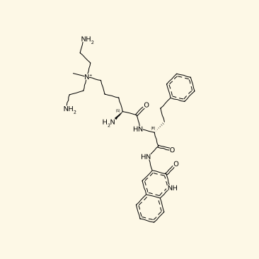 C[N+](CCN)(CCN)CCC[C@H](N)C(=O)N[C@H](CCc1ccccc1)C(=O)Nc1cc2ccccc2[nH]c1=O